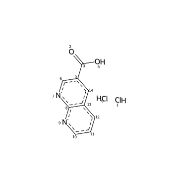 Cl.Cl.O=C(O)c1cnc2ncccc2c1